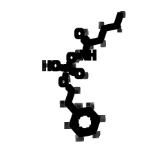 CCCCC(=O)NOP(=O)(O)OCCc1ccccc1